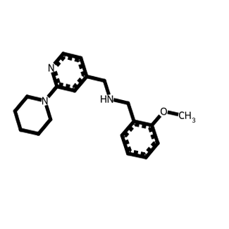 COc1ccccc1CNCc1ccnc(N2CCCCC2)c1